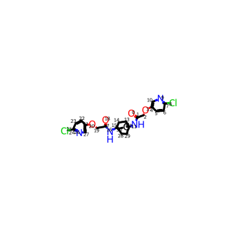 O=C(COc1ccc(Cl)nc1)NC12CCC(NC(=O)COc3ccc(Cl)nc3)(CC1)CC2